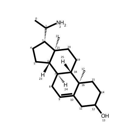 CC(N)[C@H]1CC[C@H]2[C@@H]3CC=C4CC(O)CC[C@]4(C)[C@H]3CC[C@]12C